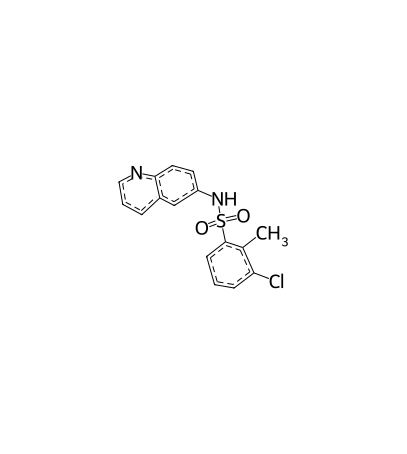 Cc1c(Cl)cccc1S(=O)(=O)Nc1ccc2ncccc2c1